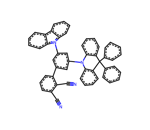 N#Cc1cccc(-c2cc(N3c4ccccc4C(c4ccccc4)(c4ccccc4)c4ccccc43)cc(-n3c4ccccc4c4ccccc43)c2)c1C#N